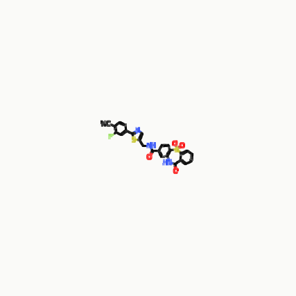 N#Cc1ccc(-c2ncc(CNC(=O)c3ccc4c(c3)NC(=O)c3ccccc3S4(=O)=O)s2)cc1F